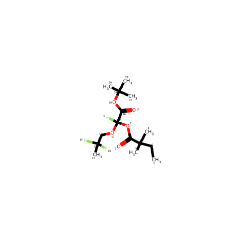 CCC(C)(C)C(=O)OC(F)(OCC(C)(F)F)C(=O)OC(C)(C)C